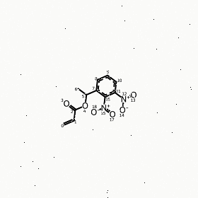 C=CC(=O)OC(C)c1cccc([N+](=O)[O-])c1[N+](=O)[O-]